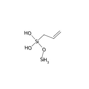 C=CC[Si](O)(O)O[SiH3]